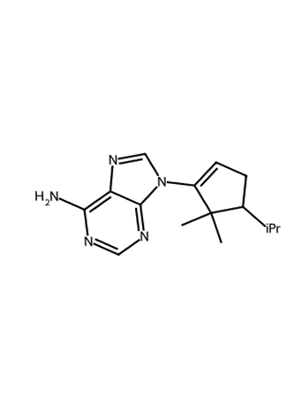 CC(C)C1CC=C(n2cnc3c(N)ncnc32)C1(C)C